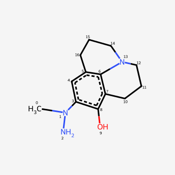 CN(N)c1cc2c3c(c1O)CCCN3CCC2